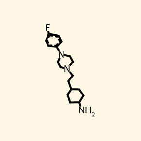 NC1CCC(CCN2CCN(c3ccc(F)cc3)CC2)CC1